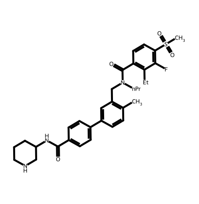 CCCN(Cc1cc(-c2ccc(C(=O)NC3CCCNC3)cc2)ccc1C)C(=O)c1ccc(S(C)(=O)=O)c(F)c1CC